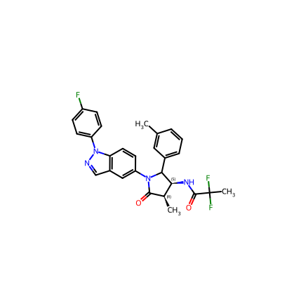 Cc1cccc(C2[C@@H](NC(=O)C(C)(F)F)[C@@H](C)C(=O)N2c2ccc3c(cnn3-c3ccc(F)cc3)c2)c1